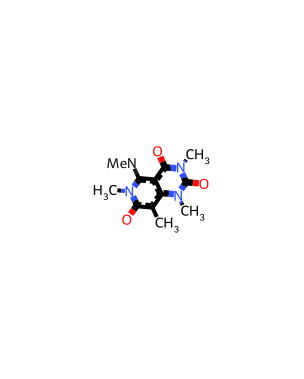 CNc1c2c(=O)n(C)c(=O)n(C)c2c(C)c(=O)n1C